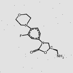 NC[C@@H]1CN(c2ccc(N3CCOCC3)c(F)c2)C(=O)O1